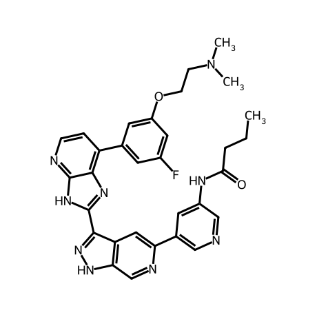 CCCC(=O)Nc1cncc(-c2cc3c(-c4nc5c(-c6cc(F)cc(OCCN(C)C)c6)ccnc5[nH]4)n[nH]c3cn2)c1